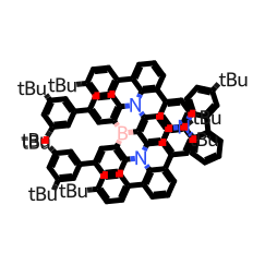 CC(C)(C)c1ccc(-c2cccc(-c3ccc(C(C)(C)C)cc3)c2N2c3ccc(-c4cc(C(C)(C)C)cc(C(C)(C)C)c4)cc3B3c4cc(-c5cc(C(C)(C)C)cc(C(C)(C)C)c5)ccc4N(c4c(-c5ccc(C(C)(C)C)cc5)cccc4-c4ccc(C(C)(C)C)cc4)c4cc(-n5c6ccccc6c6cc(C(C)(C)C)ccc65)cc2c43)cc1